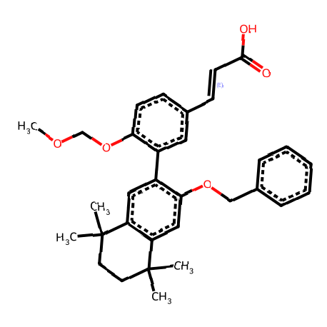 COCOc1ccc(/C=C/C(=O)O)cc1-c1cc2c(cc1OCc1ccccc1)C(C)(C)CCC2(C)C